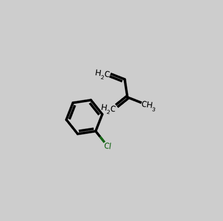 C=CC(=C)C.Clc1ccccc1